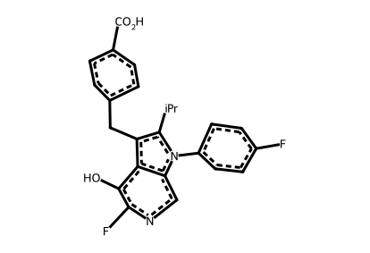 CC(C)c1c(Cc2ccc(C(=O)O)cc2)c2c(O)c(F)ncc2n1-c1ccc(F)cc1